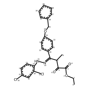 CCOC(=O)C(=O)C(C)C(=NNc1ccc(Cl)cc1Cl)c1ccc(OCc2ccccc2)cc1